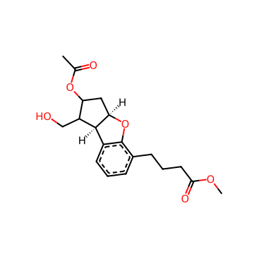 COC(=O)CCCc1cccc2c1O[C@@H]1CC(OC(C)=O)C(CO)[C@H]21